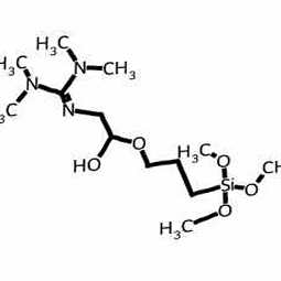 CO[Si](CCCOC(O)CN=C(N(C)C)N(C)C)(OC)OC